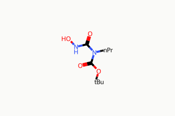 CCCN(C(=O)NO)C(=O)OC(C)(C)C